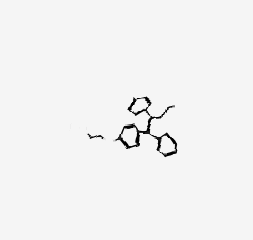 OCCOc1ccc(C(=C(CCCl)c2ccc(O)cc2)c2ccccc2)cc1